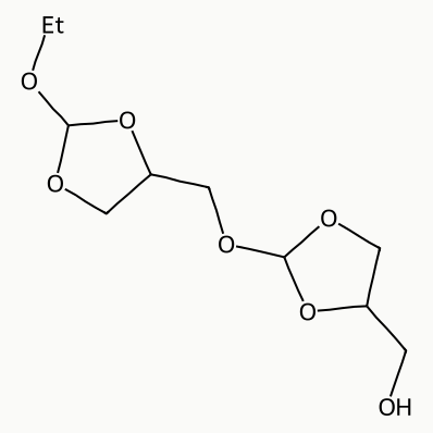 CCOC1OCC(COC2OCC(CO)O2)O1